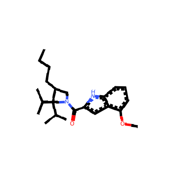 CCCCC1CN(C(=O)c2cc3c(OC)cccc3[nH]2)C1(C(C)C)C(C)C